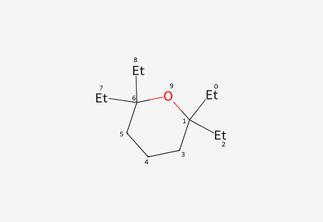 CCC1(CC)CCCC(CC)(CC)O1